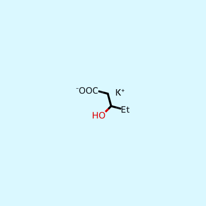 CCC(O)CC(=O)[O-].[K+]